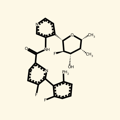 C[C@@H]1[C@H](O)[C@@H](F)[C@H](c2ccncc2NC(=O)c2ccc(F)c(-c3c(F)cccc3P)n2)O[C@@H]1C